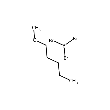 BrB(Br)Br.CCCCCOC